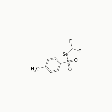 Cc1ccc(S(=O)(=O)[Se]C(F)F)cc1